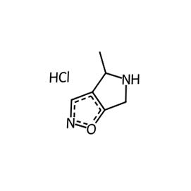 CC1NCc2oncc21.Cl